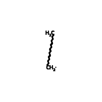 [CH2]CCCCC=CCC=CCC=CCCCCC